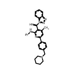 Cc1cc(-c2ccc(CN3CCCCC3)cc2)nc(NC(C)C)c1C(=N)n1nnc2ccccc21